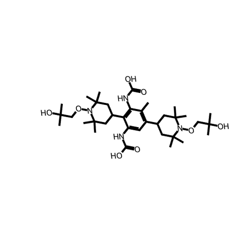 Cc1c(C2CC(C)(C)N(OCC(C)(C)O)C(C)(C)C2)cc(NC(=O)O)c(C2CC(C)(C)N(OCC(C)(C)O)C(C)(C)C2)c1NC(=O)O